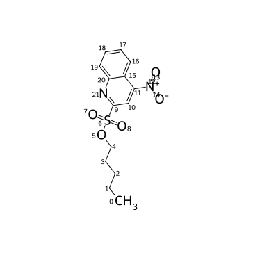 CCCCCOS(=O)(=O)c1cc([N+](=O)[O-])c2ccccc2n1